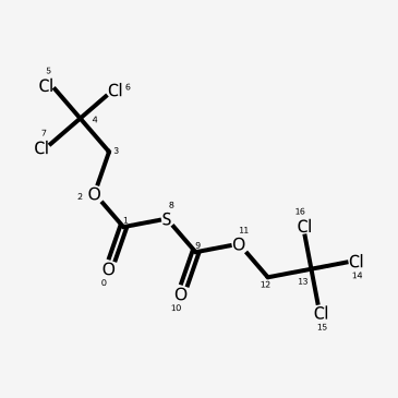 O=C(OCC(Cl)(Cl)Cl)SC(=O)OCC(Cl)(Cl)Cl